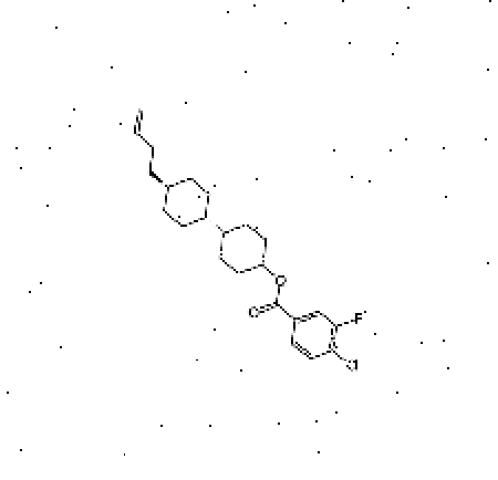 C=CCC[C@H]1CC[C@H](C2CCC(OC(=O)c3ccc(Cl)c(F)c3)CC2)CC1